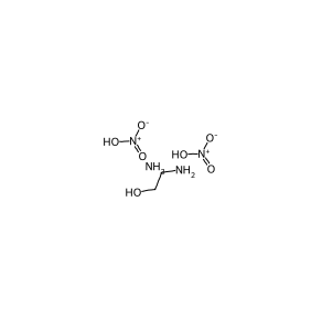 N.NCCO.O=[N+]([O-])O.O=[N+]([O-])O